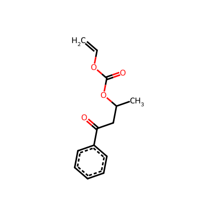 C=COC(=O)OC(C)CC(=O)c1ccccc1